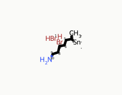 Br.Br.C[CH]([Sn])CCCCCN